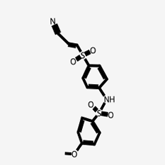 COc1ccc(S(=O)(=O)Nc2ccc(S(=O)(=O)/C=C/C#N)cc2)cc1